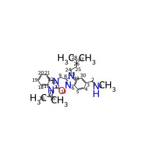 CNCc1ccc2nc(Cn3c(=O)n(C(C)C)c4ccccc43)n(CCC(C)C)c2c1